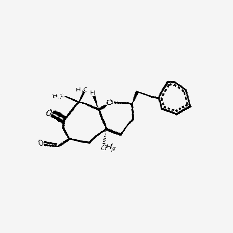 CC1(C)C(=O)C(C=O)C[C@]2(C)CC[C@H](Cc3ccccc3)O[C@@H]12